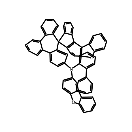 c1ccc(-c2ccccc2N(c2ccc3c(c2)C2(c4ccccc4-c4ccccc4-3)c3ccccc3-c3c2ccc2oc4ccccc4c32)c2ccc3oc4ccccc4c3c2)cc1